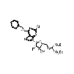 CCOC(=O)C(OCC1O[C@@H](n2cnc3c(NCc4ccccc4)nc(Cl)nc32)[C@@H](F)[C@@H]1O)C(=O)OCC